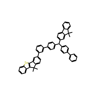 CC1(C)c2ccccc2-c2ccc(C(c3ccc(-c4ccccc4)cc3)c3ccc(-c4cccc(-c5ccc6c(c5)-c5sc7ccccc7c5C6(C)C)c4)cc3)cc21